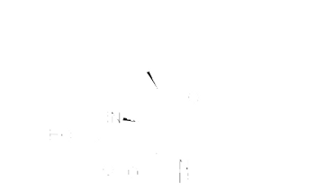 O=C(O)N[C@@H]1C(=O)Nc2ccccc2O[C@@H]1c1ccccc1